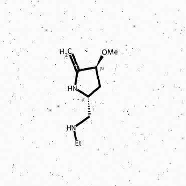 C=C1N[C@@H](CNCC)C[C@@H]1OC